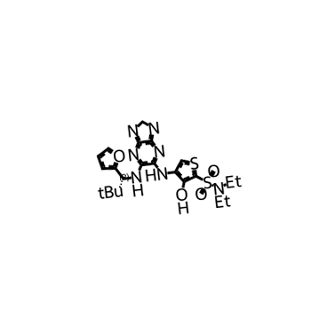 CCN(CC)S(=O)(=O)c1scc(Nc2nc3c(nc2N[C@@H](c2ccco2)C(C)(C)C)=NCN=3)c1O